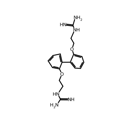 N=C(N)NCCOc1ccccc1-c1ccccc1OCCNC(=N)N